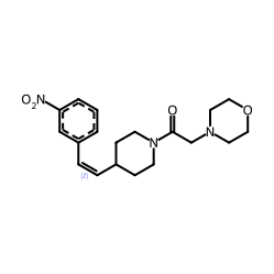 O=C(CN1CCOCC1)N1CCC(/C=C\c2cccc([N+](=O)[O-])c2)CC1